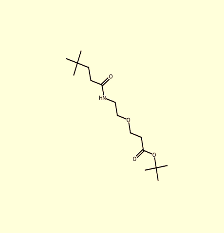 CC(C)(C)CCC(=O)NCCOCCC(=O)OC(C)(C)C